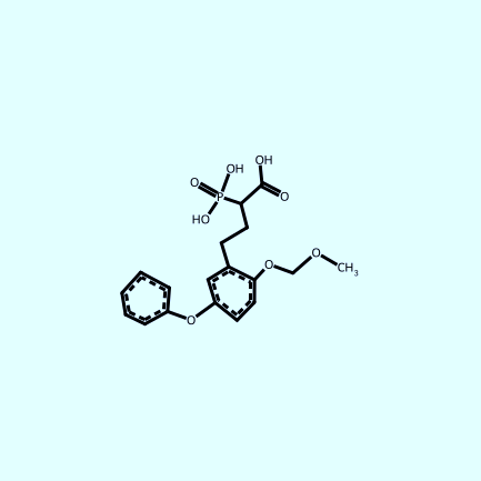 COCOc1ccc(Oc2ccccc2)cc1CCC(C(=O)O)P(=O)(O)O